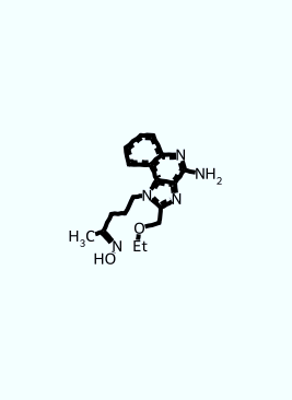 CCOCc1nc2c(N)nc3ccccc3c2n1CCCC(C)=NO